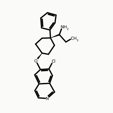 CCC(N)[C@]1(c2ccccc2)CC[C@H](Oc2cc3ccncc3cc2Cl)CC1